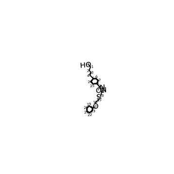 OCC/C=C/c1ccc(-c2nnc(CSCCOc3ccccc3)o2)cc1